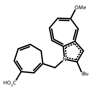 CCC(C)c1cc2c(n1CC1=CC(C(=O)O)=CC=CC1)=C=CC=C(OC)C=2